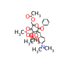 CC(=O)OC[C@H]1O[C@@H](Oc2ccccc2)[C@](Cc2ccc(N(C)C)cc2)(OC(C)=O)[C@@H](OC(C)=O)[C@@H]1OC(C)=O